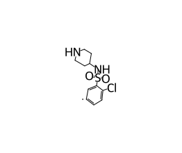 O=S(=O)(NC1CCNCC1)c1c[c]ccc1Cl